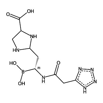 O=C(Cc1nnn[nH]1)N[C@@H](CC1NCC(C(=O)O)N1)B(O)O